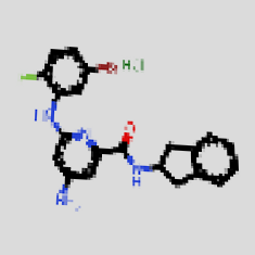 Cl.Nc1cc(Nc2cc(Br)ccc2F)nc(C(=O)NC2Cc3ccccc3C2)c1